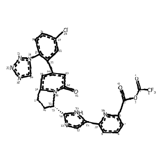 O=C(OC(=O)C(F)(F)F)c1cccc(-c2cnc([C@@H]3CCc4cc(-c5cc(Cl)ccc5-n5cnnn5)cc(=O)n43)[nH]2)n1